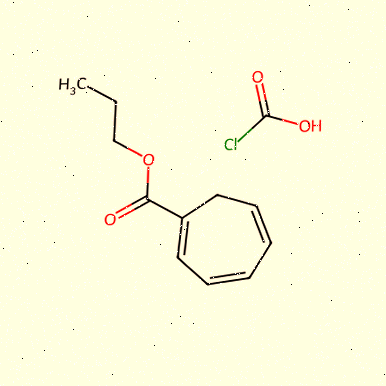 CCCOC(=O)C1=CC=CC=CC1.O=C(O)Cl